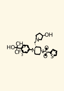 C[C@@](O)(c1ccc(N2CCN(S(=O)(=O)c3cccs3)C[C@H]2CN2CC[C@@H](O)C2)cc1)C(F)(F)F